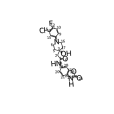 O=C(CC1(O)CCN(c2ccc(F)c(Cl)c2)CC1)Nc1ccc2[nH]c(=O)oc2c1